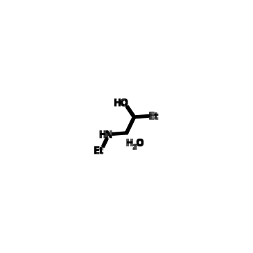 CCNCC(O)CC.O